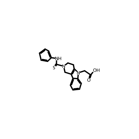 O=C(O)Cn1c2c(c3ccccc31)CN(C(=S)Nc1ccccc1)CC2